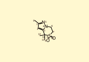 Cc1cc2n(n1)CCS(=O)(=O)C2(C)C